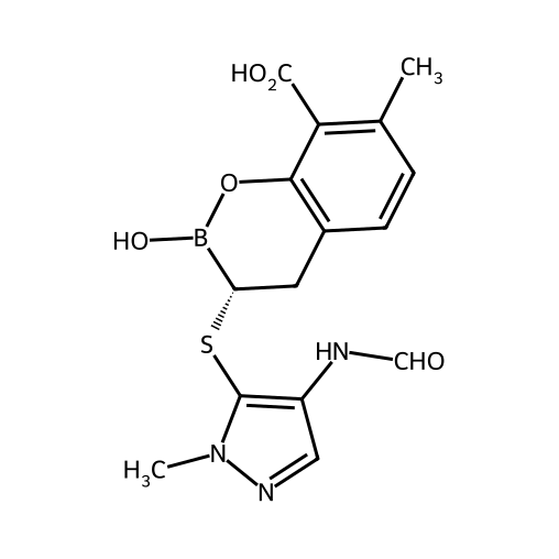 Cc1ccc2c(c1C(=O)O)OB(O)[C@@H](Sc1c(NC=O)cnn1C)C2